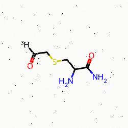 [3H]C(=O)CSCC(N)C(N)=O